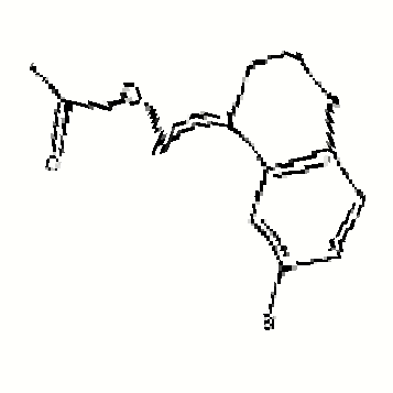 CC(=O)O/N=C1\CCCc2ccc(Br)cc21